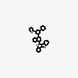 c1ccc(-c2cc(-c3ccccn3)cc(-c3ccc(-c4oc5ccccc5c5nc6ccccc6c4-5)c4ccccc34)c2)cc1